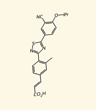 Cc1cc(C=CC(=O)O)ccc1-c1nsc(-c2ccc(OC(C)C)c(C#N)c2)n1